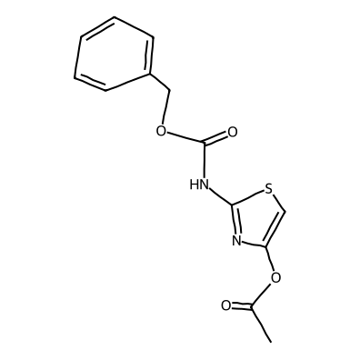 CC(=O)Oc1csc(NC(=O)OCc2ccccc2)n1